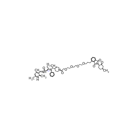 C=C1CCC(N2C(=O)c3cccc(CCCOCCOCCOCCOCC(=O)N4CCC(C(C)N(/C(C)=C/C(=O)NCC5=C(C)C=C(C)NC5=C)c5ccccc5)CC4)c3C2=O)C(=O)C1